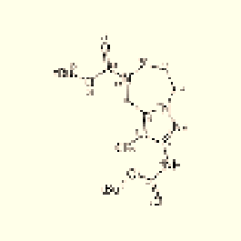 CC(C)(C)OC(=O)Nc1nn2c(c1Cl)CN(C(=O)OC(C)(C)C)CCC2